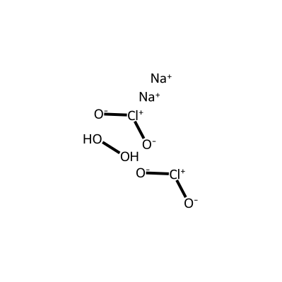 OO.[Na+].[Na+].[O-][Cl+][O-].[O-][Cl+][O-]